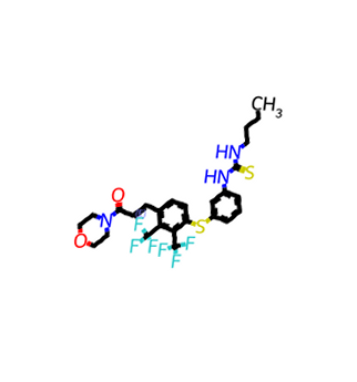 CCCCNC(=S)Nc1cccc(Sc2ccc(/C=C/C(=O)N3CCOCC3)c(C(F)(F)F)c2C(F)(F)F)c1